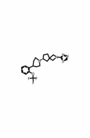 FC(F)(F)Oc1ccccc1C1CCN([C@H]2CCC3(C2)CN(c2nncs2)C3)CC1